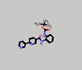 CC(C)(C)OC(=O)Nc1ccccc1NC(=O)c1ccc(-c2cccnc2)nc1